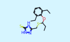 CCc1cccc(CC)c1OC(CC)SCc1n[nH]c(=S)[nH]1